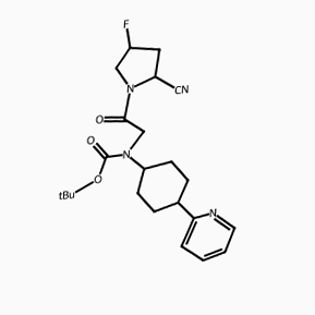 CC(C)(C)OC(=O)N(CC(=O)N1CC(F)CC1C#N)C1CCC(c2ccccn2)CC1